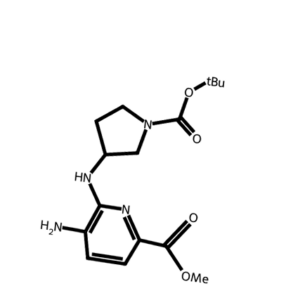 COC(=O)c1ccc(N)c(NC2CCN(C(=O)OC(C)(C)C)C2)n1